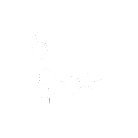 CCS(=O)(=O)c1ccc(-c2ccc(C#N)cc2)nc1-c1ccc2nc(C(F)(F)F)nn2c1